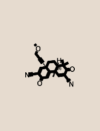 COCC#C[C@@]12C=C(C#N)C(=O)C=C1[C@@]1(C)C=C(C#N)C(=O)C(C)(C)[C@@H]1CC2